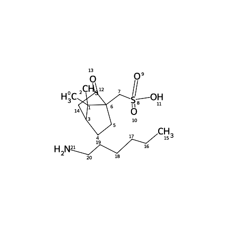 CC1(C)C2CCC1(CS(=O)(=O)O)C(=O)C2.CCCCCCN